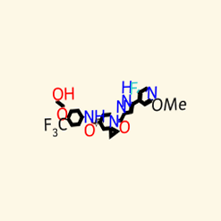 COc1cc(-c2cc(C(=O)N3CC[C@@H](C(=O)N[C@H]4CC[C@@](OCCO)(C(F)(F)F)CC4)CC34CC4)n[nH]2)c(F)cn1